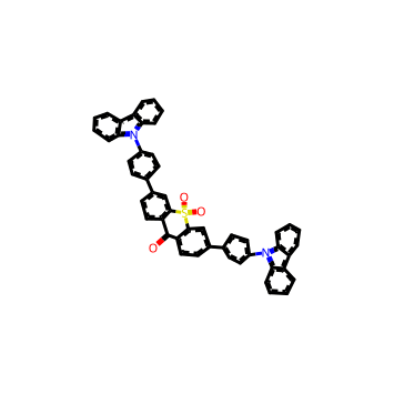 O=C1c2ccc(-c3ccc(-n4c5ccccc5c5ccccc54)cc3)cc2S(=O)(=O)c2cc(-c3ccc(-n4c5ccccc5c5ccccc54)cc3)ccc21